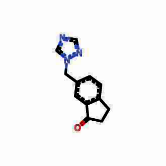 O=C1CCc2ccc(Cn3cncn3)cc21